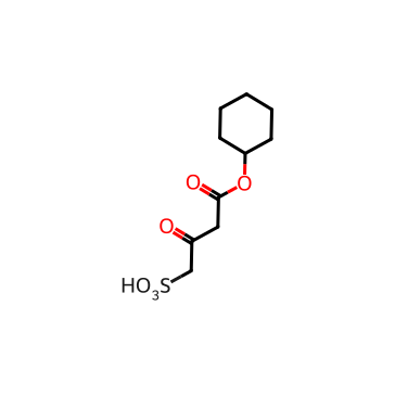 O=C(CC(=O)OC1CCCCC1)CS(=O)(=O)O